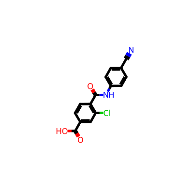 N#Cc1ccc(NC(=O)c2ccc(C(=O)O)cc2Cl)cc1